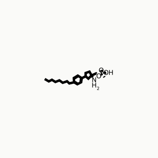 CCCCCCCCc1ccc(C2CCC(N)(COP(C)(=O)O)C2)cc1